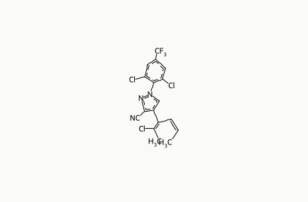 C/C=C\C(=C(/C)Cl)c1cn(-c2c(Cl)cc(C(F)(F)F)cc2Cl)nc1C#N